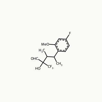 COc1cc(F)ccc1C(C)C(C)C(O)(C=O)C(F)(F)F